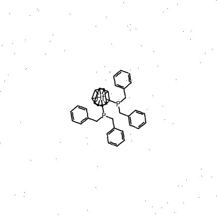 c1ccc(CP(Cc2ccccc2)[C]23[CH]4[CH]5[CH]6[C]2(P(Cc2ccccc2)Cc2ccccc2)[Hf]54632789[CH]3[CH]2[CH]7[CH]8[CH]39)cc1